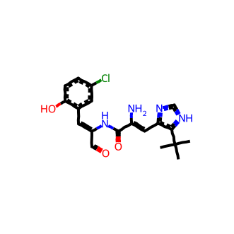 CC(C)(C)c1[nH]cnc1/C=C(\N)C(=O)N/C(C=O)=C\c1cc(Cl)ccc1O